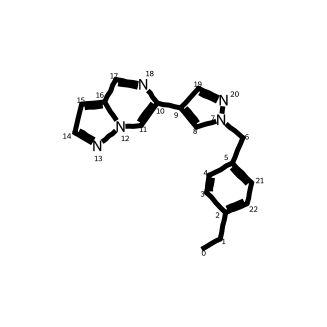 CCc1ccc(Cn2cc(-c3cn4nccc4cn3)cn2)cc1